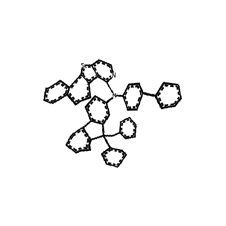 c1ccc(-c2ccc(N(c3ccc4c(c3)C(c3ccccc3)(c3ccccc3)c3ccccc3-4)c3nccc4sc5c6ccccc6ccc5c34)cc2)cc1